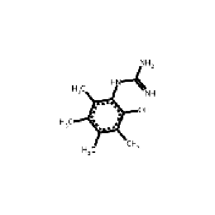 Cc1c(C)c(C)c(NC(=N)N)c(O)c1C